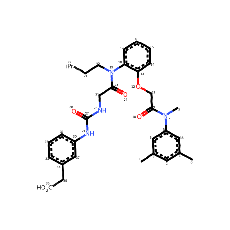 Cc1cc(C)cc(N(C)C(=O)COc2ccccc2N(CCC(C)C)C(=O)CNC(=O)Nc2cccc(CC(=O)O)c2)c1